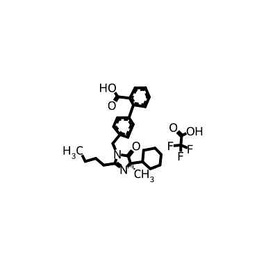 CCCCC1=N[C@](C)(C2CCCCC2)C(=O)N1Cc1ccc(-c2ccccc2C(=O)O)cc1.O=C(O)C(F)(F)F